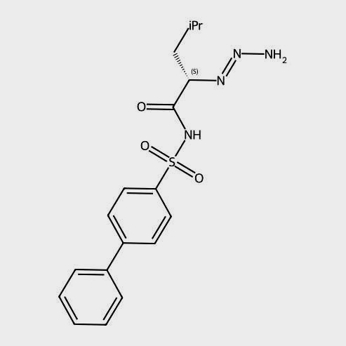 CC(C)C[C@H](N=NN)C(=O)NS(=O)(=O)c1ccc(-c2ccccc2)cc1